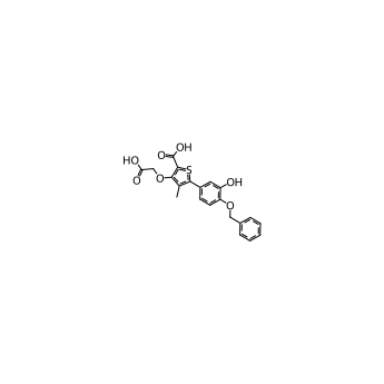 Cc1c(-c2ccc(OCc3ccccc3)c(O)c2)sc(C(=O)O)c1OCC(=O)O